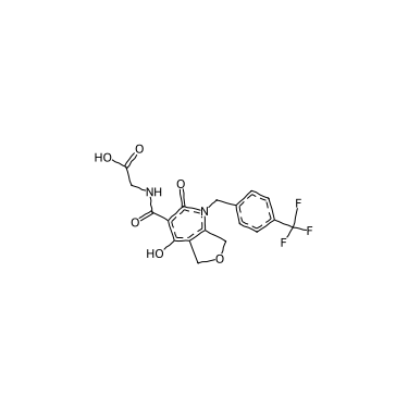 O=C(O)CNC(=O)c1c(O)c2c(n(Cc3ccc(C(F)(F)F)cc3)c1=O)COC2